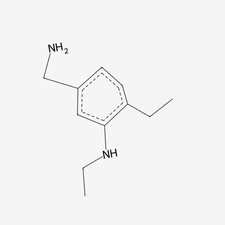 CCNc1cc(CN)ccc1CC